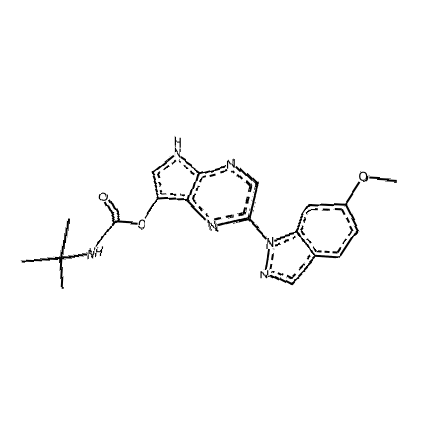 COc1ccc2cnn(-c3cnc4[nH]cc(OC(=O)NC(C)(C)C)c4n3)c2c1